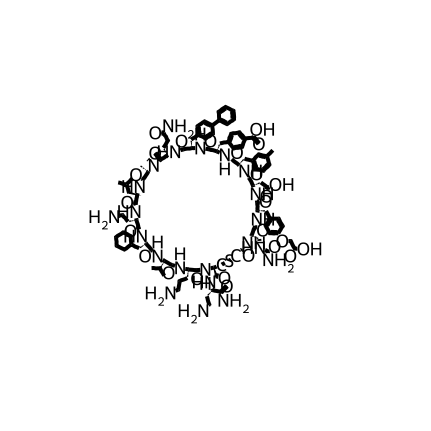 Cc1cccc(C[C@@H]2NC(=O)[C@H](CC(=O)O)NC(=O)[C@H](Cc3ccc(OCC(=O)O)cc3)NC(=O)[C@H](CNC(N)=O)NC(=O)CSC[C@@H](C(=O)N[C@@H](CCN)C(N)=O)NC(=O)[C@H](CCCN)NC(=O)[C@H](C(C)C)NC(=O)[C@H](CC3CCCCC3)NC(=O)[C@H](CCN)NC(=O)[C@@H](CC(C)C)NC(=O)[C@H](C)N(C)C(=O)[C@H](CCC(N)=O)NC(=O)[C@H](Cc3ccc(-c4ccccc4)cc3)NC(=O)[C@H](Cc3ccc(C(=O)O)cc3)NC2=O)c1